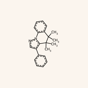 CC1(C)c2ccccc2-n2ncc(-c3ccccc3)c2C1(C)C